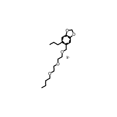 CCCCOCCOCCOCc1cc2c(cc1CCC)OCO2.[Ir]